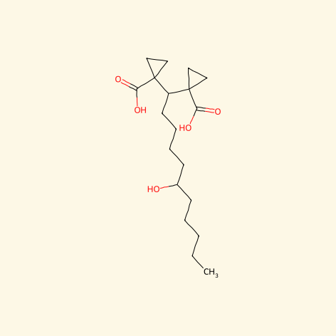 CCCCCC(O)CCCCC(C1(C(=O)O)CC1)C1(C(=O)O)CC1